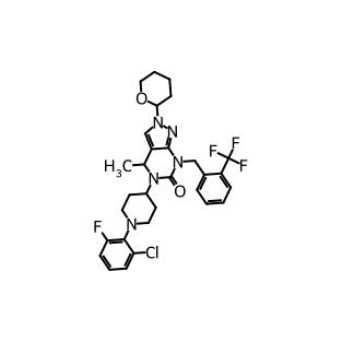 CC1c2cn(C3CCCCO3)nc2N(Cc2ccccc2C(F)(F)F)C(=O)N1C1CCN(c2c(F)cccc2Cl)CC1